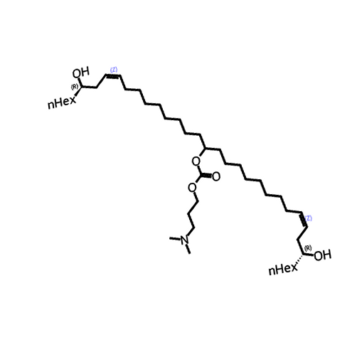 CCCCCC[C@@H](O)C/C=C\CCCCCCCCC(CCCCCCCC/C=C\C[C@H](O)CCCCCC)OC(=O)OCCCN(C)C